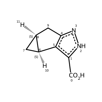 O=C(O)c1[nH]nc2c1[C@H]1C[C@H]1C2